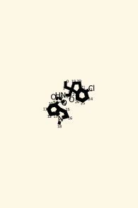 CCC1(C(=O)NS(=O)(=O)c2cccc3c2ccn3C)CCc2c(Cl)cccc21